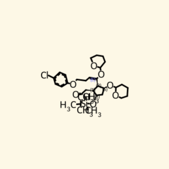 CC(C)(C)[Si](C)(C)O[C@@H]1C[C@H](OC2CCCCO2)[C@H](/C(=C\CCOc2ccc(Cl)cc2)OC2CCCCO2)[C@@H]1CC=O